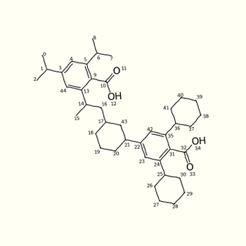 CC(C)c1cc(C(C)C)c(C(=O)O)c(C(C)CC2CCCC(c3cc(C4CCCCC4)c(C(=O)O)c(C4CCCCC4)c3)C2)c1